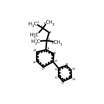 CC(C)(C)CC(C)(C)c1[c]c(-c2[c]cccc2)ccc1